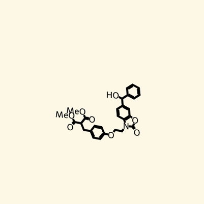 COC(=O)C(Cc1ccc(OCCn2c(=O)oc3cc(C(O)c4ccccc4)ccc32)cc1)C(=O)OC